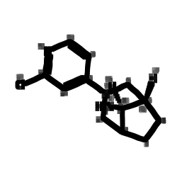 N[C@@H]1C2CC[C@H]1CN(c1ccnc(Cl)c1)C2